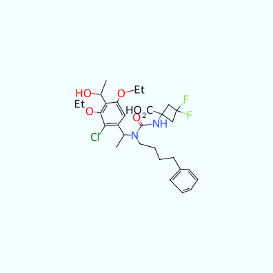 CCOc1cc(C(C)N(CCCCc2ccccc2)C(=O)NC2(C(=O)O)CC(F)(F)C2)c(Cl)c(OCC)c1C(C)O